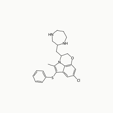 Cc1c(Sc2ccccc2)c2cc(Cl)cc3c2n1C(CC1CNCCCN1)CO3